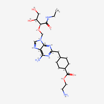 CCNC(=O)[C@@H](OCn1cnc2c(N)nc(CC3CCC(C(=O)OCCN)CC3)nc21)C(O)CO